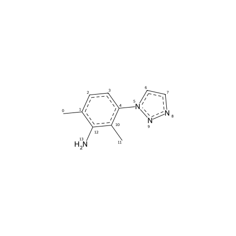 Cc1ccc(-n2ccnn2)c(C)c1N